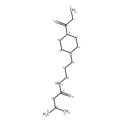 CCC(=O)N1CCN(CCCNC(=O)CC(C)C)CC1